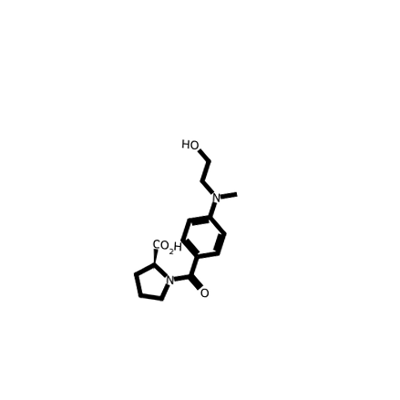 CN(CCO)c1ccc(C(=O)N2CCC[C@H]2C(=O)O)cc1